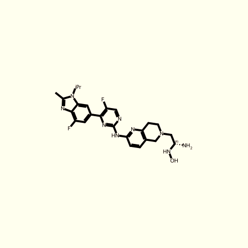 Cc1nc2c(F)cc(-c3nc(Nc4ccc5c(n4)CCN(C[C@H](N)NO)C5)ncc3F)cc2n1C(C)C